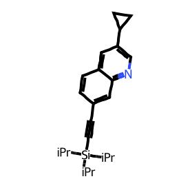 CC(C)[Si](C#Cc1ccc2cc(C3CC3)cnc2c1)(C(C)C)C(C)C